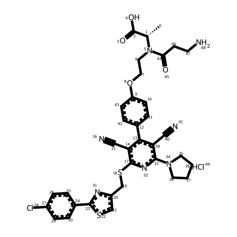 C[C@@H](C(=O)O)N(CCOc1ccc(-c2c(C#N)c(SCc3csc(-c4ccc(Cl)cc4)n3)nc(N3CCCC3)c2C#N)cc1)C(=O)CCN.Cl